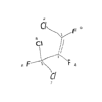 FC(Cl)=C(F)C(F)(Cl)Cl